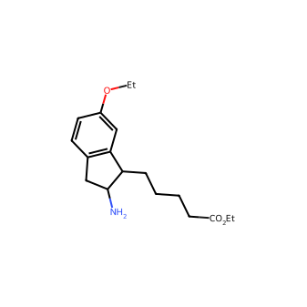 CCOC(=O)CCCCC1c2cc(OCC)ccc2CC1N